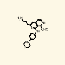 NCCCc1cc2c(c(Nc3ccc(N4CCOCC4)cc3)n1)C(C=O)NC=C2